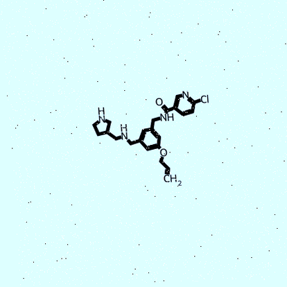 C=CCOc1cc(CNCC2CCNC2)cc(CNC(=O)c2ccc(Cl)nc2)c1